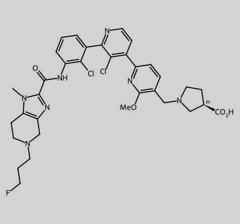 COc1nc(-c2ccnc(-c3cccc(NC(=O)c4nc5c(n4C)CCN(CCCF)C5)c3Cl)c2Cl)ccc1CN1CC[C@@H](C(=O)O)C1